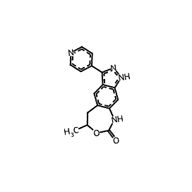 CC1Cc2cc3c(-c4ccncc4)n[nH]c3cc2NC(=O)O1